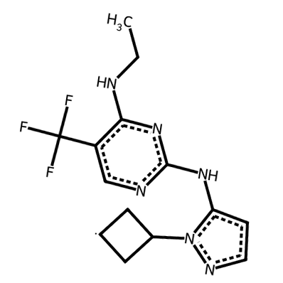 CCNc1nc(Nc2ccnn2C2C[CH]C2)ncc1C(F)(F)F